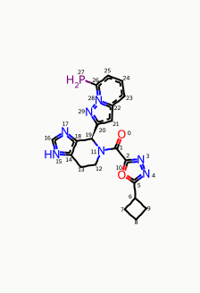 O=C(c1nnc(C2CCC2)o1)N1CCc2[nH]cnc2[C@H]1c1cc2cccc(P)n2n1